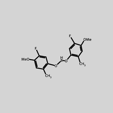 COc1cc(C)c(OBOc2cc(F)c(OC)cc2C)cc1F